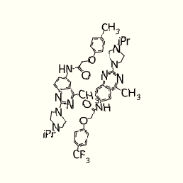 Cc1ccc(OCC(=O)Nc2ccc3nc(N4CCN(C(C)C)CC4)nc(C)c3c2)cc1.Cc1nc(N2CCN(C(C)C)CC2)nc2ccc(NC(=O)COc3ccc(C(F)(F)F)cc3)cc12